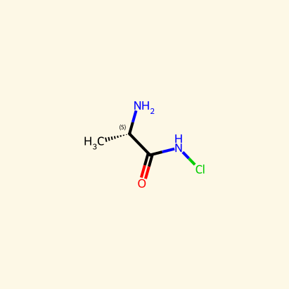 C[C@H](N)C(=O)NCl